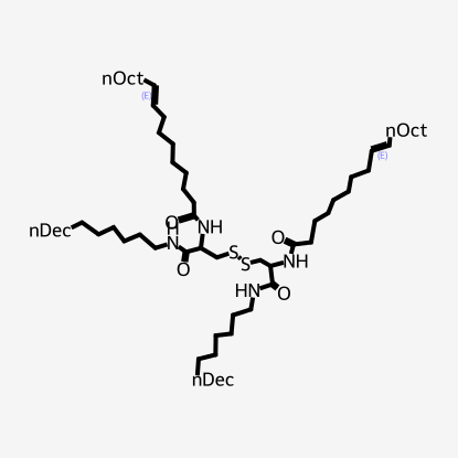 CCCCCCCC/C=C/CCCCCCCC(=O)NC(CSSCC(NC(=O)CCCCCCC/C=C/CCCCCCCC)C(=O)NCCCCCCCCCCCCCCCC)C(=O)NCCCCCCCCCCCCCCCC